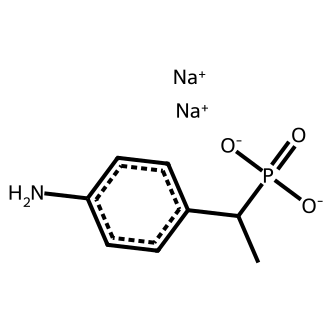 CC(c1ccc(N)cc1)P(=O)([O-])[O-].[Na+].[Na+]